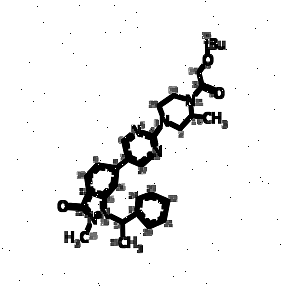 CC1CN(c2ncc(-c3ccc4c(=O)n(C)n(C(C)c5ccccc5)c4c3)cn2)CCN1C(=O)COC(C)(C)C